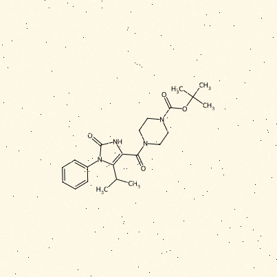 CC(C)c1c(C(=O)N2CCN(C(=O)OC(C)(C)C)CC2)[nH]c(=O)n1-c1ccccc1